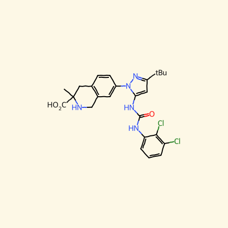 CC1(C(=O)O)Cc2ccc(-n3nc(C(C)(C)C)cc3NC(=O)Nc3cccc(Cl)c3Cl)cc2CN1